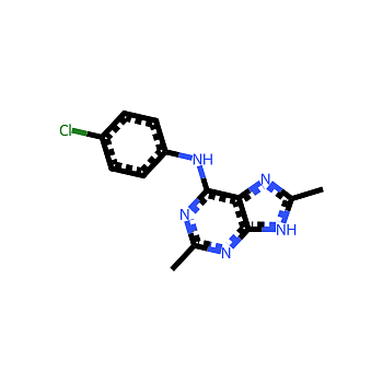 Cc1nc(Nc2ccc(Cl)cc2)c2nc(C)[nH]c2n1